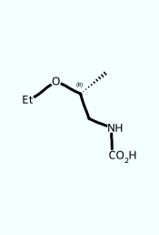 CCO[C@H](C)CNC(=O)O